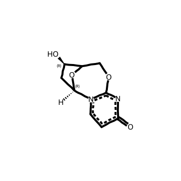 O=c1ccn2c(n1)OCC1O[C@@H]2C[C@H]1O